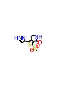 CS(=O)(=O)c1sc(-c2cc[nH]n2)c2c1C(=O)NCC2